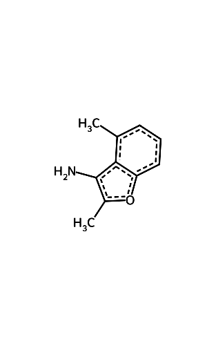 Cc1oc2cccc(C)c2c1N